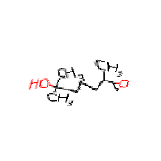 CC(CCCC(C)(C)O)C1CO1